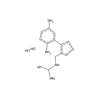 CCCCC(CCC)NCc1cscc1-c1cc(N)ccc1N.Cl.Cl